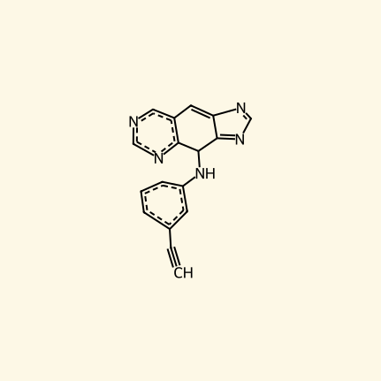 C#Cc1cccc(NC2C3=NC=NC3=Cc3cncnc32)c1